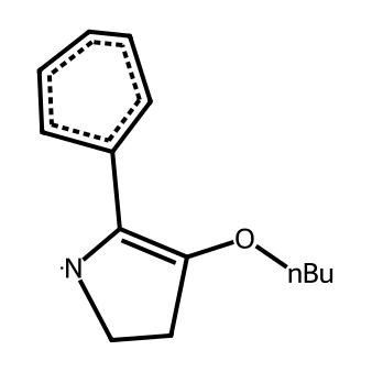 CCCCOC1=C(c2ccccc2)[N]CC1